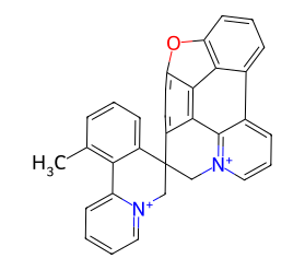 Cc1cccc2c1-c1cccc[n+]1CC21C[n+]2cccc3c4cccc5oc6ccc1c(c6c54)c32